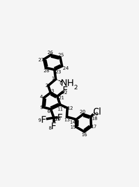 N[C@H](Cc1ccc(C(F)(F)F)c([CH]Cc2cccc(Cl)c2)c1F)c1ccccc1